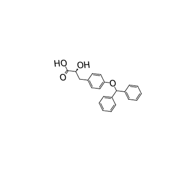 O=C(O)[C@@H](O)Cc1ccc(OC(c2ccccc2)c2ccccc2)cc1